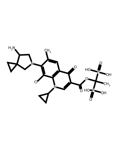 Cc1cc2c(=O)c(C(=O)OC(C)(P(=O)(O)O)P(=O)(O)O)cn(C3CC3)c2c(Cl)c1N1CC(N)C2(CC2)C1